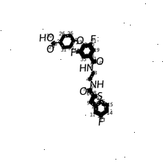 O=C(NCCNC(=O)c1cc2cc(F)ccc2s1)c1cc(F)c(O[C@H]2CC[C@@H](C(=O)O)CC2)c(F)c1